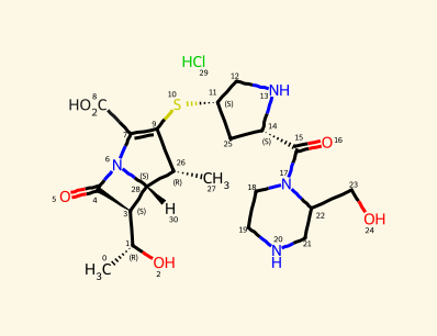 C[C@@H](O)[C@H]1C(=O)N2C(C(=O)O)=C(S[C@@H]3CN[C@H](C(=O)N4CCNCC4CO)C3)[C@H](C)[C@H]12.Cl